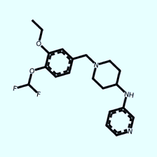 CCOc1cc(CN2CCC(Nc3cccnc3)CC2)ccc1OC(F)F